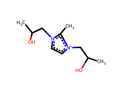 Cc1n(CC(C)O)cc[n+]1CC(C)O